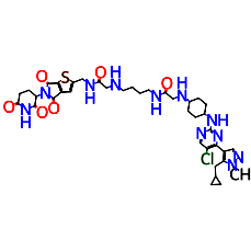 Cn1ncc(-c2nc(N[C@H]3CC[C@H](NCC(=O)NCCCCNCC(=O)NCc4cc5c(s4)C(=O)N(C4CCC(=O)NC4=O)C5=O)CC3)ncc2Cl)c1CC1CC1